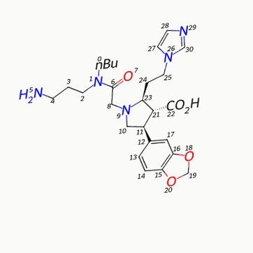 CCCCN(CCCN)C(=O)CN1C[C@H](c2ccc3c(c2)OCO3)[C@@H](C(=O)O)[C@@H]1CCn1ccnc1